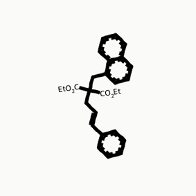 CCOC(=O)C(CC=Cc1ccccc1)(Cc1cccc2ccccc12)C(=O)OCC